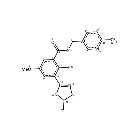 COc1cc(C(=O)NCc2cnc(C(F)(F)F)nc2)c(F)c(C2=NCC(C)S2)c1